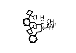 CC#N.CCCN(CCc1ccccc1)C(C)CCc1c(C2(Cl)CCC2)cccc1C1(Cl)CCC1